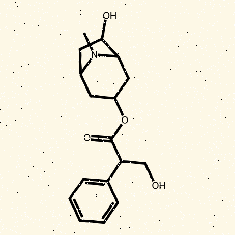 CN1C2CC(OC(=O)C(CO)c3ccccc3)CC1C(O)C2